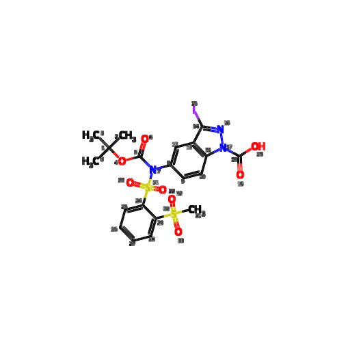 CC(C)(C)OC(=O)N(c1ccc2c(c1)c(I)nn2C(=O)O)S(=O)(=O)c1ccccc1S(C)(=O)=O